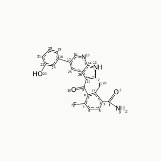 NC(=O)c1ccc(F)c(C(=O)c2c[nH]c3ncc(-c4cccc(O)c4)cc23)c1F